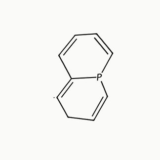 [C]1=C2C=CC=CP2C=CC1